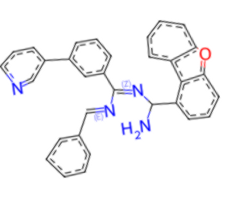 NC(/N=C(\N=C\c1ccccc1)c1cccc(-c2cccnc2)c1)c1cccc2oc3ccccc3c12